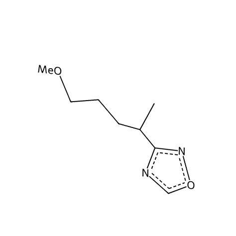 COCCCC(C)c1ncon1